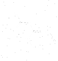 CCCCC(=O)OC(=O)OC=O